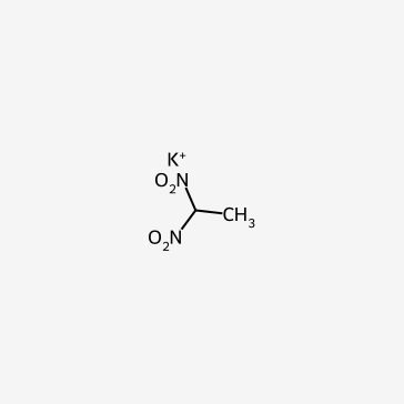 CC([N+](=O)[O-])[N+](=O)[O-].[K+]